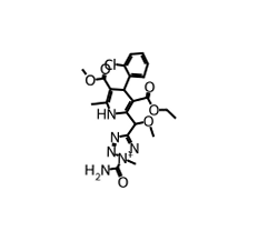 CCOC(=O)C1=C(C(OC)C2=N[N+](C)(C(N)=O)N=N2)NC(C)=C(C(=O)OC)C1c1ccccc1Cl